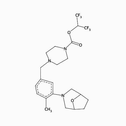 Cc1ccc(CN2CCN(C(=O)OC(C(F)(F)F)C(F)(F)F)CC2)cc1N1CC2CCC(C1)O2